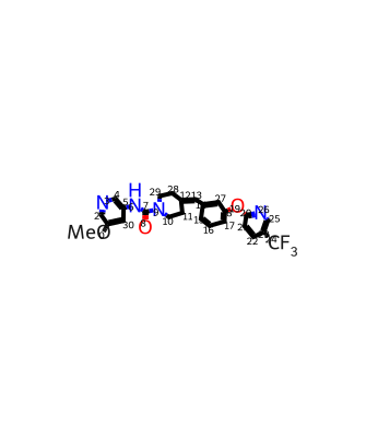 COc1cncc(NC(=O)N2CCC(=Cc3cccc(Oc4ccc(C(F)(F)F)cn4)c3)CC2)c1